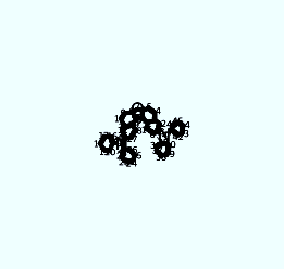 C1=CC2C(C=CC3OC4C=Cc5cc(N(c6ccccc6)c6ccccc6)ccc5C4C32)C=C1N(c1ccccc1)c1ccccc1